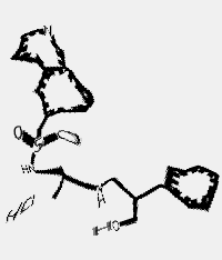 C[C@H](CNCC(CO)c1ccccc1)NS(=O)(=O)c1ccc2cnccc2c1.Cl